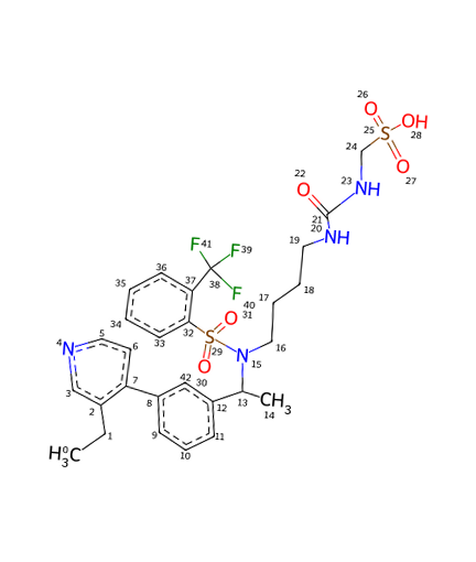 CCc1cnccc1-c1cccc(C(C)N(CCCCNC(=O)NCS(=O)(=O)O)S(=O)(=O)c2ccccc2C(F)(F)F)c1